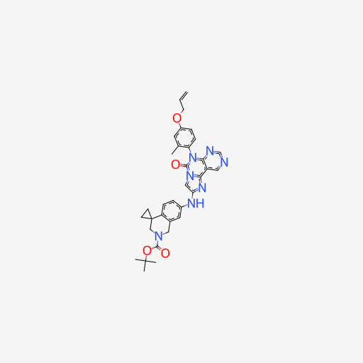 C=CCOc1ccc(-n2c(=O)n3cc(Nc4ccc5c(c4)CN(C(=O)OC(C)(C)C)CC54CC4)nc3c3cncnc32)c(C)c1